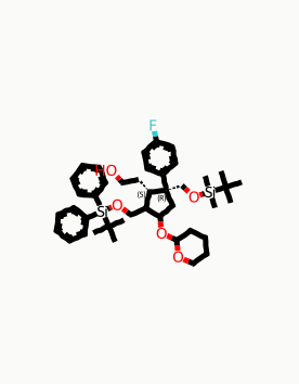 CC(C)(C)[Si](C)(C)OC[C@]1(c2ccc(F)cc2)CC(OC2CCCCO2)C(CO[Si](c2ccccc2)(c2ccccc2)C(C)(C)C)[C@@H]1CCO